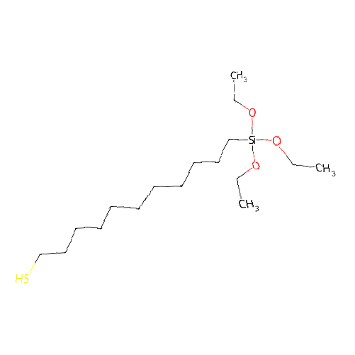 CCO[Si](CCCCCCCCCCCS)(OCC)OCC